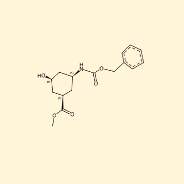 COC(=O)[C@H]1C[C@@H](O)C[C@@H](NC(=O)OCc2ccccc2)C1